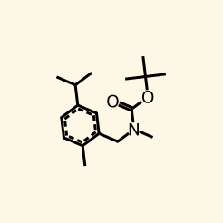 Cc1ccc(C(C)C)cc1CN(C)C(=O)OC(C)(C)C